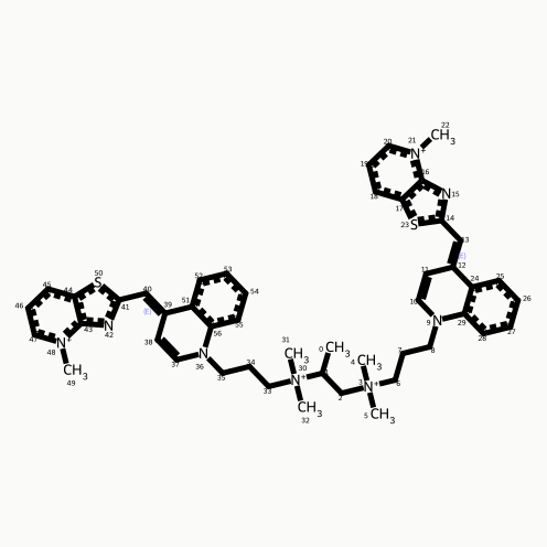 CC(C[N+](C)(C)CCCN1C=C/C(=C\c2nc3c(ccc[n+]3C)s2)c2ccccc21)[N+](C)(C)CCCN1C=C/C(=C\c2nc3c(ccc[n+]3C)s2)c2ccccc21